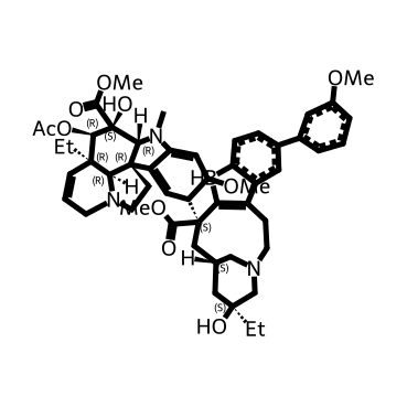 CC[C@]1(O)C[C@H]2CN(CCC3=C(Bc4ccc(-c5cccc(OC)c5)cc43)[C@@](C(=O)OC)(C3C=C4C(=CC3OC)N(C)[C@H]3[C@@](O)(C(=O)OC)[C@H](OC(C)=O)[C@]5(CC)C=CCN6CC[C@]43[C@@H]65)C2)C1